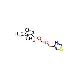 C[Si](C)(C)CCOCOCc1cscn1